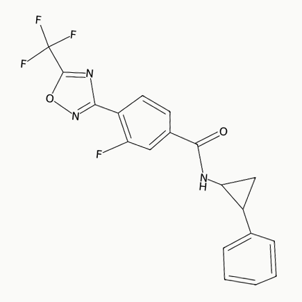 O=C(NC1CC1c1ccccc1)c1ccc(-c2noc(C(F)(F)F)n2)c(F)c1